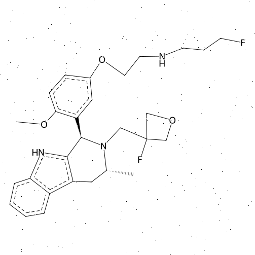 COc1ccc(OCCNCCCF)cc1[C@@H]1c2[nH]c3ccccc3c2C[C@@H](C)N1CC1(F)COC1